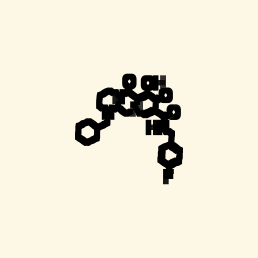 O=C(NCc1ccc(F)cc1)c1cn2c(c(O)c1=O)C(=O)N1CCCN(CC3CCCCC3)C1C2